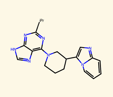 CC(C)c1nc(N2CCCC(c3cnc4ccccn34)C2)c2nc[nH]c2n1